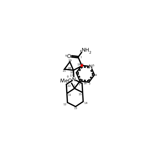 COC1(c2ccnc(C(N)=O)c2)C2CCCC1CN(C1(C)CC1)C2